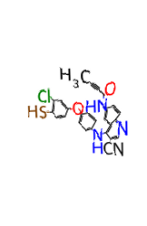 CC#CC(=O)Nc1ccc2ncc(C#N)c(Nc3ccc(Oc4ccc(S)c(Cl)c4)cc3)c2c1